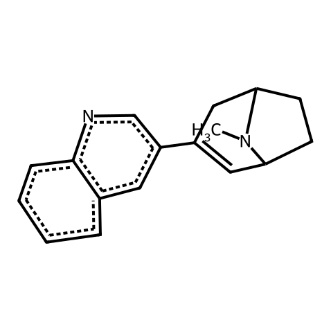 CN1C2C=C(c3cnc4ccccc4c3)CC1CC2